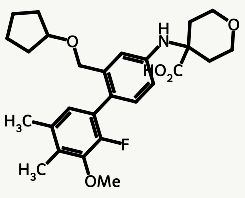 COc1c(C)c(C)cc(-c2ccc(NC3(C(=O)O)CCOCC3)cc2COC2CCCC2)c1F